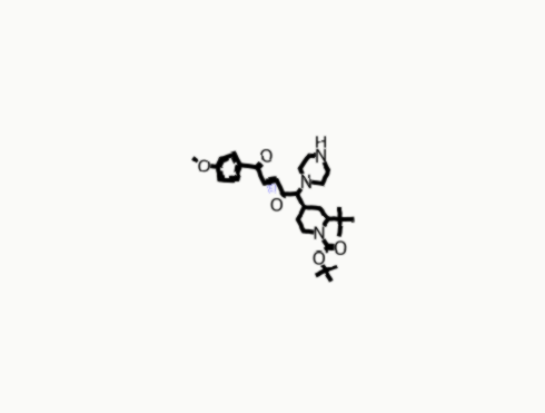 COc1ccc(C(=O)/C=C/C(=O)C(C2CCN(C(=O)OC(C)(C)C)C(C(C)(C)C)C2)N2CCNCC2)cc1